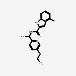 C[C@@H](NC(=O)c1cc2c(F)cccc2[nH]1)c1ccc(OCC(F)(F)F)cn1